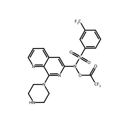 O=C(ON(c1cc2cccnc2c(N2CCNCC2)n1)S(=O)(=O)c1cccc(C(F)(F)F)c1)C(F)(F)F